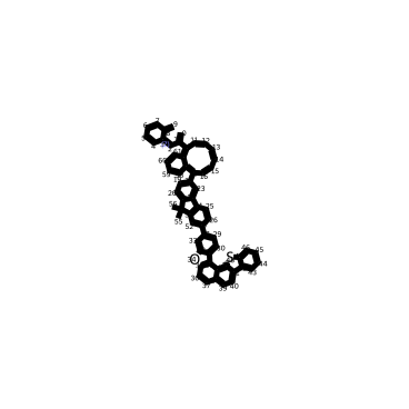 C=C(/C=c1/ccccc1=C)c1ccccccc(-c2ccc3c(c2)-c2ccc(-c4ccc5c(c4)oc4ccc6ccc7c8ccccc8sc7c6c45)cc2C3(C)C)c2ccccc12